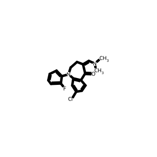 CN(C)/C=C1/CCN(c2ccccc2F)c2cc(Cl)ccc2C1=O